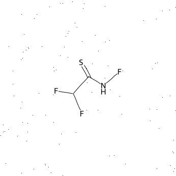 FNC(=S)C(F)F